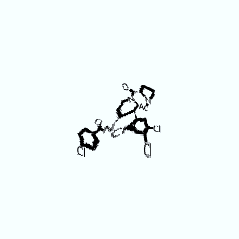 CC(=O)N1CCC[C@H]1C(=O)N1CC[C@@H](N(C)C(=O)c2ccc(Cl)cc2)[C@H](c2ccc(Cl)c(Cl)c2)C1